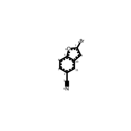 N#Cc1ccc2oc(Br)cc2c1